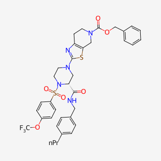 CCCc1ccc(CNC(=O)[C@H]2CN(c3nc4c(s3)CN(C(=O)OCc3ccccc3)CC4)CCN2S(=O)(=O)c2ccc(OC(F)(F)F)cc2)cc1